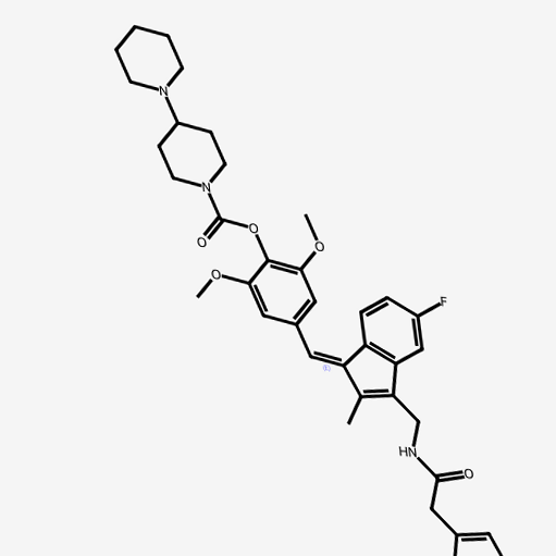 COc1cc(/C=C2/C(C)=C(CNC(=O)Cc3ccco3)c3cc(F)ccc32)cc(OC)c1OC(=O)N1CCC(N2CCCCC2)CC1